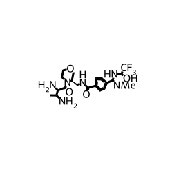 CNC(NC(O)C(F)(F)F)c1ccc(C(=O)NC[C@@H]2COCCN2C(=O)C(N)C(C)N)cc1